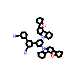 N#Cc1cccc(-c2cc(C#N)cc(-c3cc(-n4c5ccccc5c5c6oc7ccccc7c6ccc54)cc(-n4c5ccccc5c5c6oc7ccccc7c6ccc54)c3)c2)c1